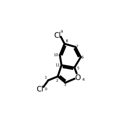 ClCc1coc2ccc(Cl)cc12